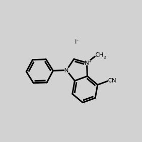 C[n+]1cn(-c2ccccc2)c2cccc(C#N)c21.[I-]